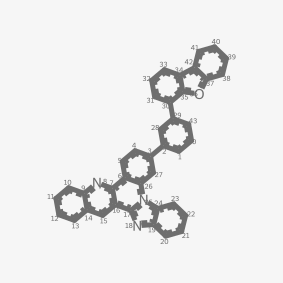 c1cc(-c2ccc3c4nc5ccccc5cc4c4nc5ccccc5n4c3c2)cc(-c2cccc3c2oc2ccccc23)c1